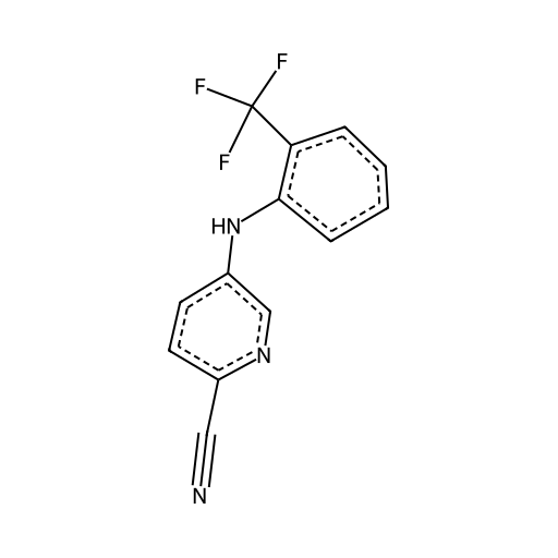 N#Cc1ccc(Nc2ccccc2C(F)(F)F)cn1